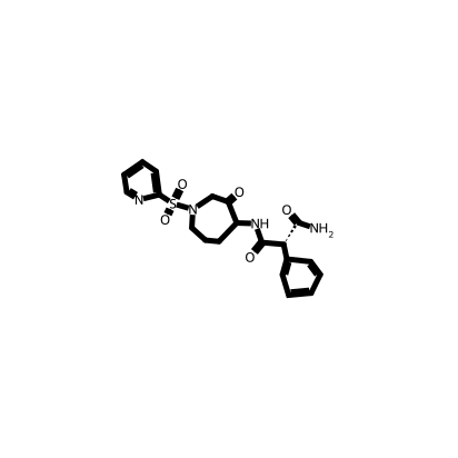 NC(=O)[C@@H](C(=O)NC1CCCN(S(=O)(=O)c2ccccn2)CC1=O)c1ccccc1